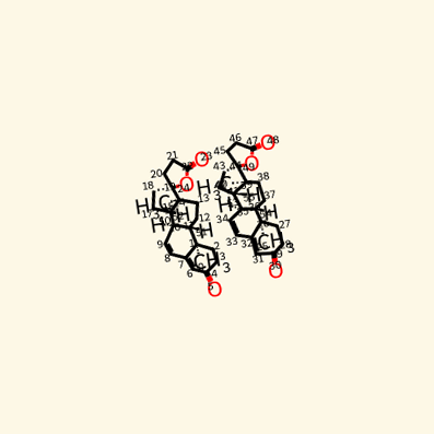 C[C@]12CCC(=O)C=C1C=C[C@@H]1[C@@H]2CC[C@@]2(C)[C@H]1CC[C@@]21CCC(=O)O1.C[C@]12CCC(=O)C=C1C=C[C@@H]1[C@@H]2CC[C@@]2(C)[C@H]1CC[C@@]21CCC(=O)O1